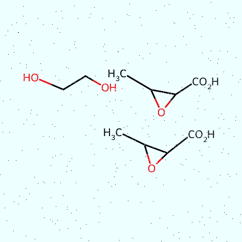 CC1OC1C(=O)O.CC1OC1C(=O)O.OCCO